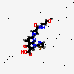 COCCCNC(=O)C1CN(c2cc(C)c3c(=O)c(C(=O)O)cn(-c4nccs4)c3n2)C1